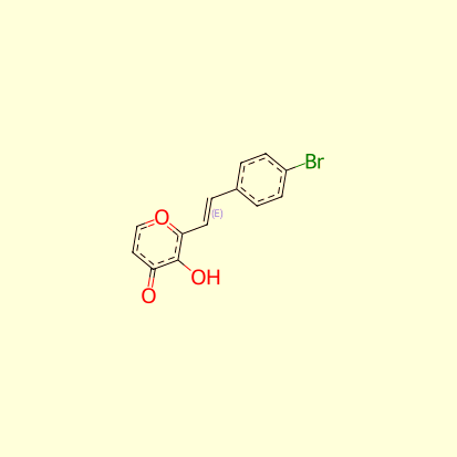 O=c1ccoc(/C=C/c2ccc(Br)cc2)c1O